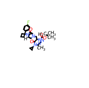 CC(C#N)N(C(=O)C(CN1C[C@@H]2CC1C(=O)N2C1(c2ccc(F)cc2)CCC1)NC(=O)OC(C)(C)C)C1CC1